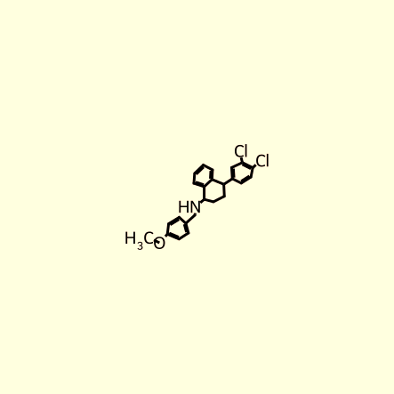 COc1ccc(CNC2CCC(c3ccc(Cl)c(Cl)c3)c3ccccc32)cc1